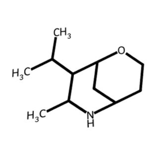 CC(C)C1C(C)NC2CCOC1C2